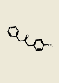 Nc1ccc(CC(=O)Cc2ccccc2)cc1